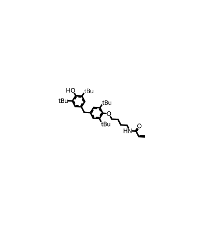 C=CC(=O)NCCCCOc1c(C(C)(C)C)cc(Cc2cc(C(C)(C)C)c(O)c(C(C)(C)C)c2)cc1C(C)(C)C